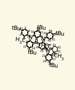 Cc1cc(C(C)(C)C)ccc1N1c2ccc(C(C)(C)C)cc2B2c3ccc(N4c5ccc(C(C)(C)C)cc5C5(C)CCCC45C)cc3N(c3ccc(C(C)(C)C)cc3)c3cc(C(C)(C)C)cc1c32